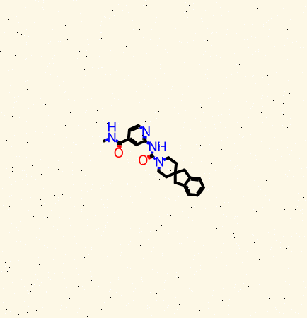 CNC(=O)c1ccnc(NC(=O)N2CCC3(CC2)Cc2ccccc2C3)c1